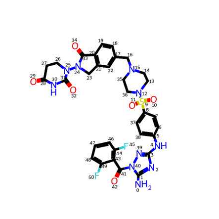 Nc1nc(Nc2ccc(S(=O)(=O)N3CCN(Cc4ccc5c(c4)CN(N4CCC(=O)NC4=O)C5=O)CC3)cc2)nn1C(=O)c1c(F)cccc1F